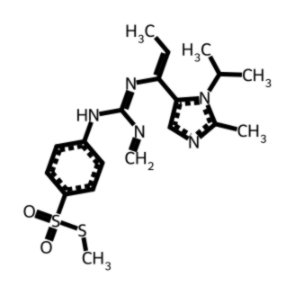 C=N/C(=N\C(=C/C)c1cnc(C)n1C(C)C)Nc1ccc(S(=O)(=O)SC)cc1